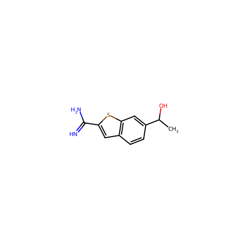 CC(O)c1ccc2cc(C(=N)N)sc2c1